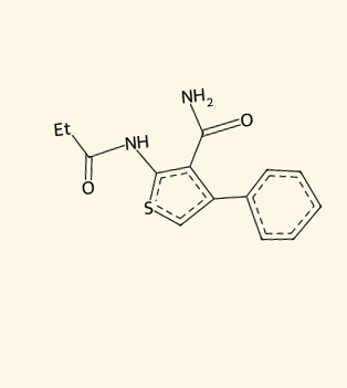 CCC(=O)Nc1scc(-c2ccccc2)c1C(N)=O